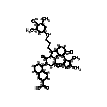 Cc1cc(OCCCc2c3n(c4c(-c5c(C)nn(C)c5C)c(Cl)ccc24)[C@H](C)CN(c2cccc4nc(C(=O)O)ccc24)C3=O)cc(C)c1Cl